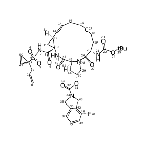 C=CCC1(S(=O)(=O)NC(=O)[C@@]23C[C@H]2/C=C\CCCCC[C@H](NC(=O)OC(C)(C)C)C(=O)N2C[C@H](OC(=O)N4Cc5cccc(F)c5C4)C[C@H]2C(=O)N3)CC1